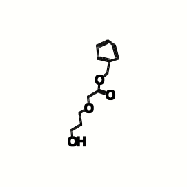 O=C(COCCCO)OCc1ccccc1